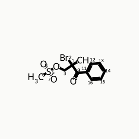 CC(Br)(COS(C)(=O)=O)C(=O)c1ccccc1